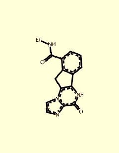 CCNC(=O)c1cccc2c1Cc1c-2[nH]c(=O)c2nccn12